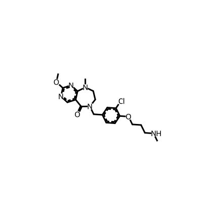 CNCCCOc1ccc(CN2CCN(C)c3nc(OC)ncc3C2=O)cc1Cl